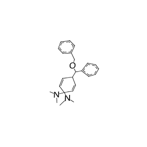 CN(C)C1(N(C)C)C=CC(C(OCc2ccccc2)c2ccccc2)C=C1